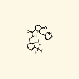 O=C(NCc1cccc(C(F)(F)F)c1Cl)C1CCC(=O)N1Cc1cccnc1